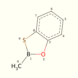 CB1Oc2ccccc2S1